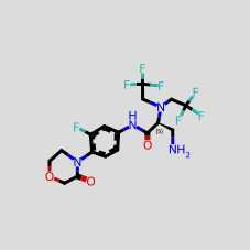 NC[C@@H](C(=O)Nc1ccc(N2CCOCC2=O)c(F)c1)N(CC(F)(F)F)CC(F)(F)F